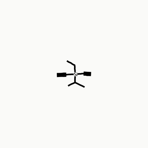 C#C[Si](C#C)(CC)C(C)C